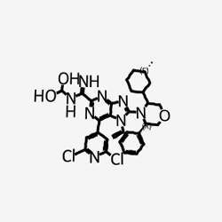 C=Cn1c(N2C(C3CCC[C@H](C)C3)COC[C@H]2c2ccccc2)nc2nc(C(=N)NC(O)O)nc(-c3cc(Cl)nc(Cl)c3)c21